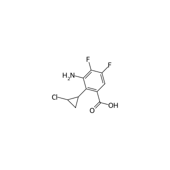 Nc1c(F)c(F)cc(C(=O)O)c1C1CC1Cl